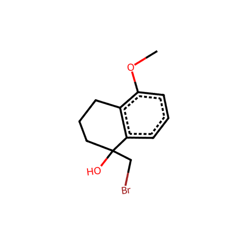 COc1cccc2c1CCCC2(O)CBr